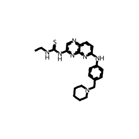 CCNC(=S)Nc1cnc2ccc(Nc3ccc(CN4CCCCC4)cc3)nc2n1